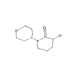 O=C1C(O)CCCN1C1CCOCC1